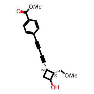 COC[C@@H]1C(O)C[C@@H]1C#CC#Cc1ccc(C(=O)OC)cc1